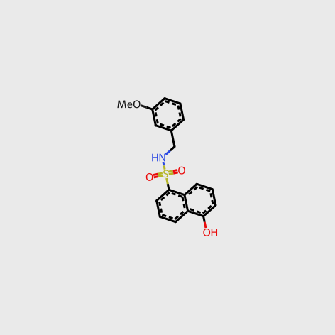 COc1cccc(CNS(=O)(=O)c2cccc3c(O)cccc23)c1